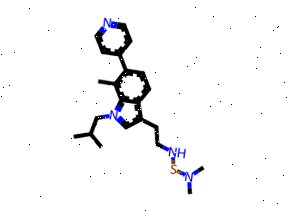 Cc1c(-c2ccncc2)ccc2c(CCNSN(C)C)cn(CC(C)C)c12